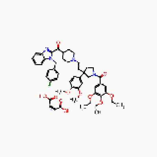 CCOc1cc(C(=O)N2CCC(CCN3CCC(C(=O)c4nc5ccccc5n4Cc4ccc(F)cc4)CC3)(c3ccc(OC)c(OC)c3)C2)cc(OCC)c1OCC.O=C(O)/C=C\C(=O)O